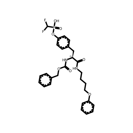 O=C(N[C@@H](Cc1ccc(OP(=O)(O)C(F)F)cc1)C(=O)NCCCCOc1ccccc1)OCc1ccccc1